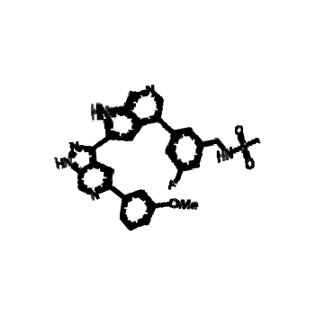 COc1cccc(-c2cc3c(-c4cc5c(-c6cc(F)cc(CNS(C)(=O)=O)c6)cncc5[nH]4)n[nH]c3cn2)c1